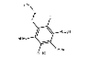 CCCCCCc1c(CCCCCC)c(OOCCC)c(O)c(C(=O)O)c1CCCCCC